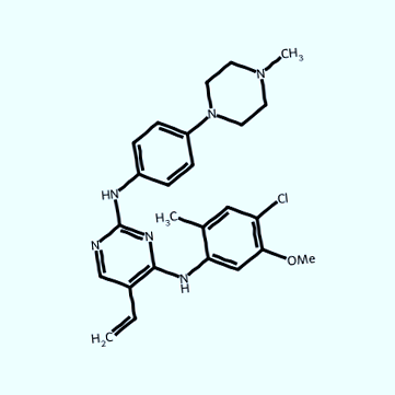 C=Cc1cnc(Nc2ccc(N3CCN(C)CC3)cc2)nc1Nc1cc(OC)c(Cl)cc1C